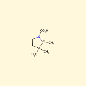 C[C@H]1N(C(=O)O)CCC1(C)C